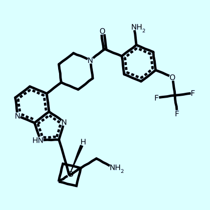 NCC12CC(C1)O[C@H]2c1nc2c(C3CCN(C(=O)c4ccc(OC(F)(F)F)cc4N)CC3)ccnc2[nH]1